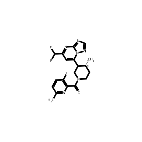 Cc1ccc(F)c(C(=O)N2CC[C@@H](C)C(c3cc(C(F)F)nc4ncnn34)C2)n1